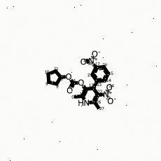 CC1=C(OC(=O)OC2CCCC2)C(c2cccc([N+](=O)[O-])c2)C([N+](=O)[O-])=C(C)N1